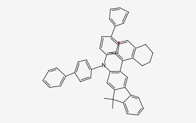 Cc1ccc2c(c1-c1cc3c(cc1N(c1ccc(-c4ccccc4)cc1)c1ccc(-c4ccccc4)cc1)C(C)(C)c1ccccc1-3)CCCC2